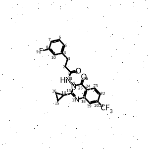 O=C(CCc1cccc(F)c1)Nn1c(C2CC2)nc2cc(C(F)(F)F)ccc2c1=O